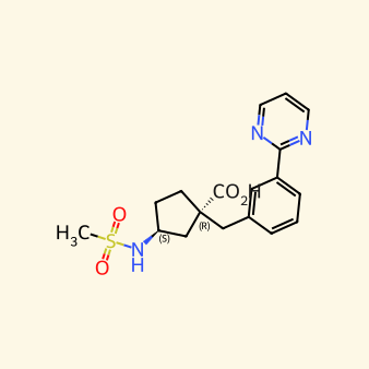 CS(=O)(=O)N[C@H]1CC[C@](Cc2cccc(-c3ncccn3)c2)(C(=O)O)C1